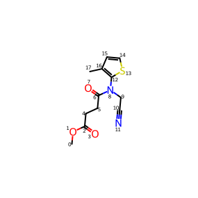 COC(=O)CCC(=O)N(CC#N)c1sccc1C